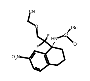 CC(C)(C)[S@@+]([O-])N[C@]1(C(F)(F)COCC#N)CCCc2ccc([N+](=O)[O-])cc21